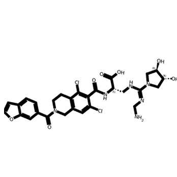 NCN=C(NC[C@H](NC(=O)c1c(Cl)cc2c(c1Cl)CCN(C(=O)c1ccc3ccoc3c1)C2)C(=O)O)N1C[C@@H](O)[C@H](O)C1